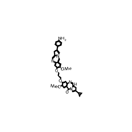 COc1cc2c(cc1OCCCOc1cc3c(cc1OC)=CN1C=C(c4ccc(N)cc4)CC1=CN=3)N=C[C@@H]1CC(C3CC3)=CN1C2=O